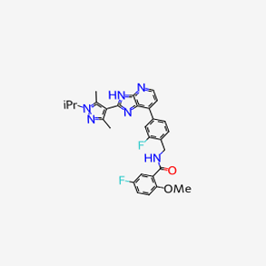 COc1ccc(F)cc1C(=O)NCc1ccc(-c2ccnc3[nH]c(-c4c(C)nn(C(C)C)c4C)nc23)cc1F